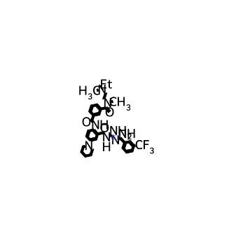 CCN(C)CCN(C)C(=O)c1cccc(C(=O)Nc2ccc(N3CCCCC3)cc2C(=O)N/C(N)=N/C(=N)c2cccc(C(F)(F)F)c2)c1